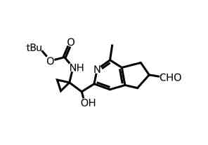 Cc1nc(C(O)C2(NC(=O)OC(C)(C)C)CC2)cc2c1CC(C=O)C2